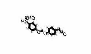 O=C=Nc1ccc(OCOc2ccc(NC=O)cc2)cc1